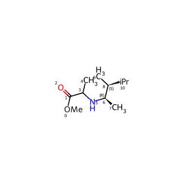 COC(=O)C(C)N[C@H](C)[C@@H](C)C(C)C